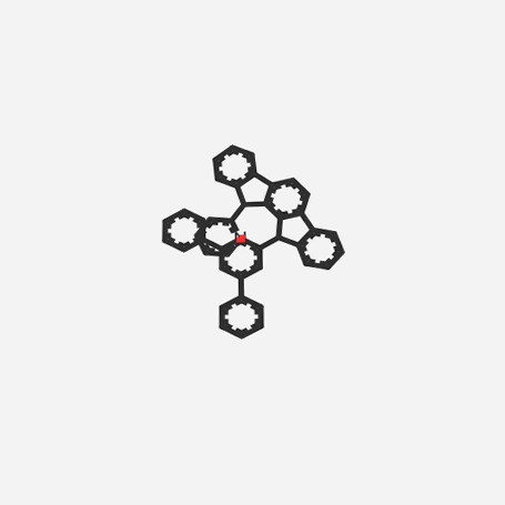 c1ccc(-c2cc(-c3ccccc3)cc(C3c4ccccc4-c4ccc5c(c43)C(c3ccccn3)c3ccccc3-5)c2)cc1